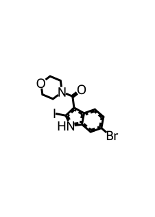 O=C(c1c(I)[nH]c2cc(Br)ccc12)N1CCOCC1